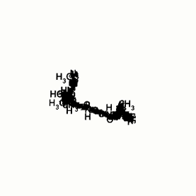 Cc1ncsc1-c1ccc(CNC(=O)[C@@H]2C[C@H](O)CN2C(=O)C(NC(=O)CCCCCC(=O)NCCOCCOCCNC(=O)c2ccc3c(c2)c2cn(C)nc2n3-c2ccc(C(F)(F)F)cc2)C(C)(C)C)cc1